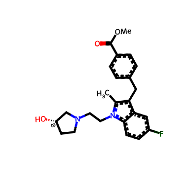 COC(=O)c1ccc(Cc2c(C)n(CCN3CC[C@H](O)C3)c3ccc(F)cc23)cc1